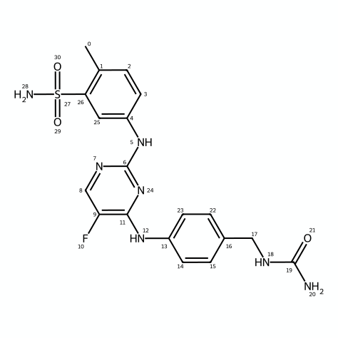 Cc1ccc(Nc2ncc(F)c(Nc3ccc(CNC(N)=O)cc3)n2)cc1S(N)(=O)=O